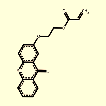 C=CC(=O)OCCOc1ccc2sc3ccccc3c(=O)c2c1